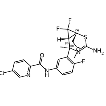 COC[C@@]12SC(N)=N[C@@](C)(c3cc(NC(=O)c4ccc(Cl)cn4)ccc3F)[C@@H]1C2(F)F